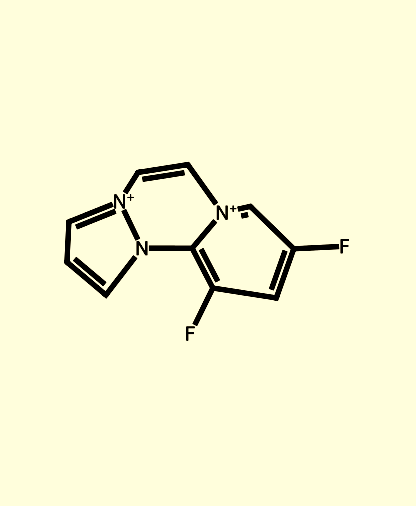 Fc1cc(F)c2n3ccc[n+]3cc[n+]2c1